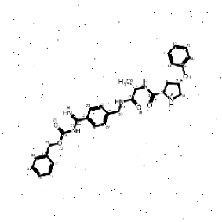 C[C@H](NC(=O)[C@H]1C[C@H](Oc2ccccc2)CN1)C(=O)NCc1ccc(C(=N)NC(=O)OCc2ccccc2)cc1